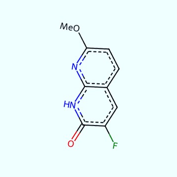 COc1ccc2cc(F)c(=O)[nH]c2n1